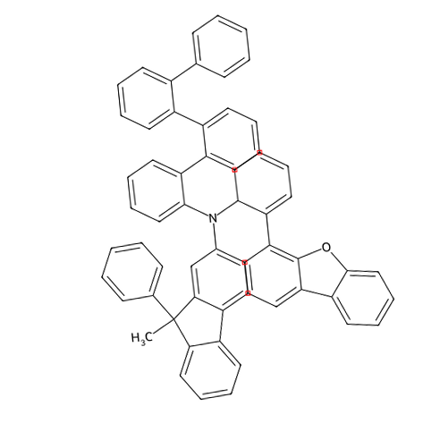 CC1(c2ccccc2)c2ccccc2-c2ccc(N(c3ccccc3-c3ccccc3-c3ccccc3-c3ccccc3)C3CC=CC=C3c3cccc4c3oc3ccccc34)cc21